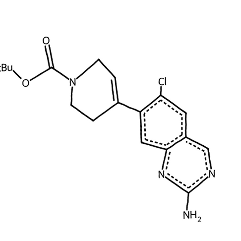 CC(C)(C)OC(=O)N1CC=C(c2cc3nc(N)ncc3cc2Cl)CC1